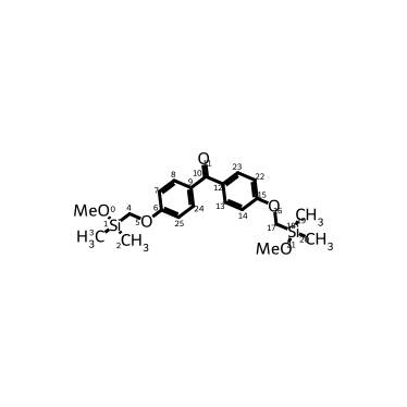 CO[Si](C)(C)COc1ccc(C(=O)c2ccc(OC[Si](C)(C)OC)cc2)cc1